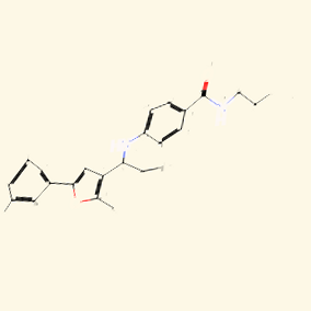 COc1cccc(-c2cc(C(CC(C)C)Nc3ccc(C(=O)NCCC(=O)O)cc3)c(C)o2)c1